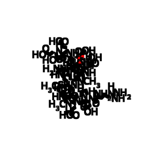 CC(C)C[C@H](NC(=O)[C@H](C)NC(=O)[C@H](CCC(=O)O)NC(=O)[C@@H]1CCCN1C(=O)[C@H](CC(=O)O)NC(=O)[C@@H](N)CCCNC(=N)N)C(=O)N[C@@H](CCCNC(=N)N)C(=O)N[C@@H](CCCNC(=N)N)C(=O)N[C@@H](C)C(=O)N[C@@H](CCC(=O)O)C(=O)N[C@@H](CCC(=O)O)C(=O)N[C@@H](CC(C)C)C(=O)N[C@@H](CCC(=O)O)C(=O)N[C@@H](CCC(=O)O)C(=O)O